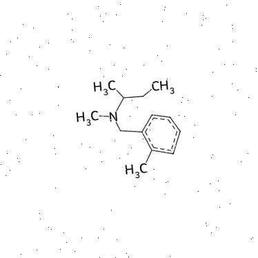 CCC(C)N(C)Cc1ccccc1C